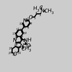 CN(C)CCCOc1ccc(-c2ccc3ncc4c(c3c2)NC(=O)[N+]4(C)C2CCCOC2)cn1